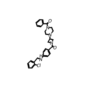 O=C(c1ccccc1)N1CCN(C2CN(C(=O)c3ccc(NCc4ccccc4Cl)cc3)C2)CC1